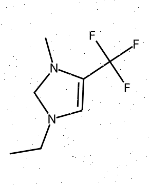 CCN1C=C(C(F)(F)F)N(C)C1